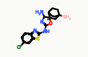 BC12CCC(CC1)[C@@]1(C2)OC(Nc2nc3ccc(Cl)cc3s2)=NC1N